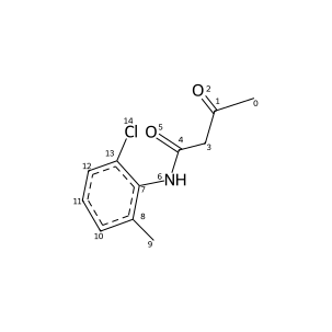 CC(=O)CC(=O)Nc1c(C)cccc1Cl